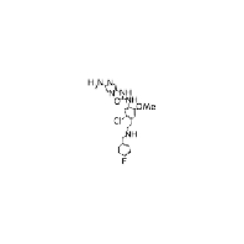 COc1cc(CCNCc2ccc(F)cc2)c(Cl)cc1NC(=O)Nc1cnc(N)cn1